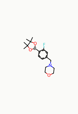 CC1(C)OB(c2ccc(CN3CCOCC3)cc2F)OC1(C)C